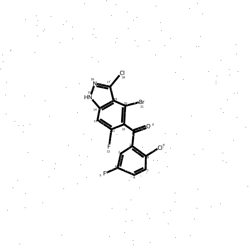 O=C(c1cc(F)ccc1Cl)c1c(F)cc2[nH]nc(Cl)c2c1Br